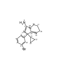 NC1=NC(c2cccc(Br)c2)(C2CC2)C2=NCCCN12